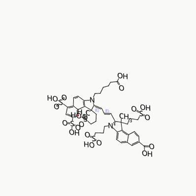 CC1(CCCS(=O)(=O)O)C(/C=C/C=C2/N(CCCCCC(=O)O)c3ccc4c(S(=O)(=O)O)cc(S(=O)(=O)O)cc4c3C2(C)CCCS(=O)(=O)O)=[N+](CCCS(=O)(=O)O)c2ccc3cc(C(=O)O)ccc3c21